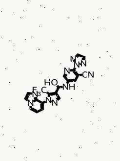 N#Cc1cc(NC(O)c2cnn(-c3cccn4ccnc34)c2C(F)(F)F)cnc1-n1nccn1